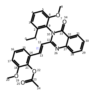 CCc1cccc(OC)c1-n1c(/C=C/c2cccc(OC)c2OC(C)=O)nc2ccccc2c1=O